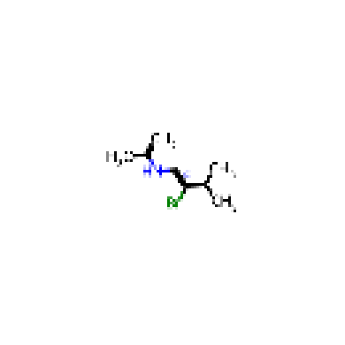 C=C(C)N/C=C(\Br)C(C)C